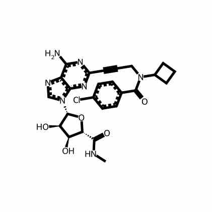 CNC(=O)[C@H]1O[C@@H](n2cnc3c(N)nc(C#CCN(C(=O)c4ccc(Cl)cc4)C4CCC4)nc32)[C@H](O)[C@@H]1O